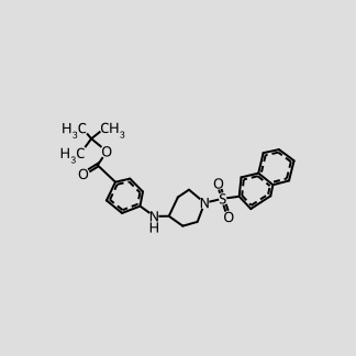 CC(C)(C)OC(=O)c1ccc(NC2CCN(S(=O)(=O)c3ccc4ccccc4c3)CC2)cc1